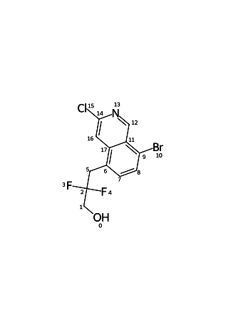 OCC(F)(F)Cc1ccc(Br)c2cnc(Cl)cc12